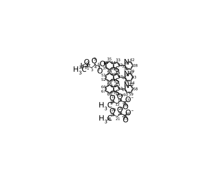 CC(=O)CC(=O)C(=O)[O-].CC(=O)CC(=O)C(=O)[O-].CC(=O)CC(=O)C(=O)[O-].[Ir+3].c1ccc(-c2cc3ccccc3s2)nc1.c1ccc(-c2cc3ccccc3s2)nc1.c1ccc(-c2cc3ccccc3s2)nc1